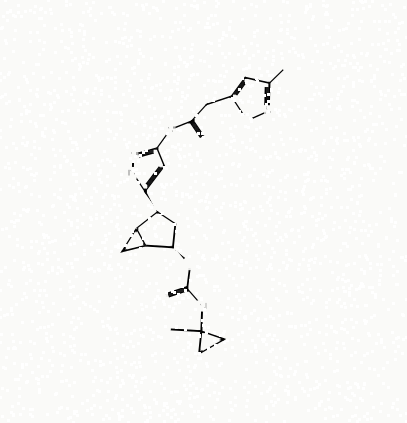 Cc1cc(CC(=O)Nc2cc([C@H]3C[C@@H](OC(=O)NC4(C)CC4)C4CC43)[nH]n2)on1